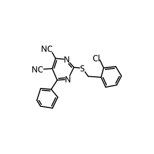 N#Cc1nc(SCc2ccccc2Cl)nc(-c2ccccc2)c1C#N